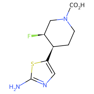 Nc1ncc([C@@H]2CCN(C(=O)O)C[C@@H]2F)s1